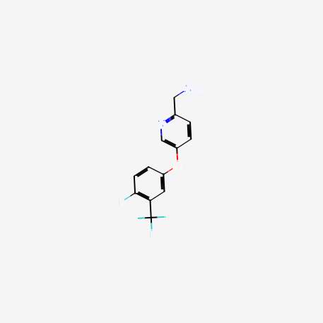 NCc1ccc(Oc2ccc(F)c(C(F)(F)F)c2)cn1